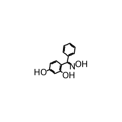 O/N=C(\c1ccccc1)c1ccc(O)cc1O